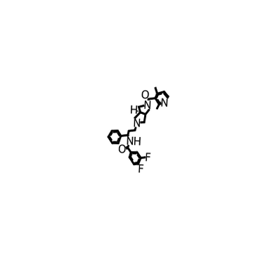 Cc1ccnc(C)c1C(=O)N1CC2CN(CCC(NC(=O)c3ccc(F)c(F)c3)c3ccccc3)C[C@H]2C1